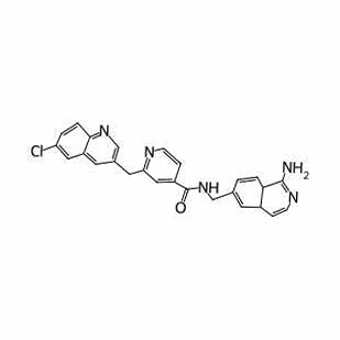 NC1=NC=CC2C=C(CNC(=O)c3ccnc(Cc4cnc5ccc(Cl)cc5c4)c3)C=CC12